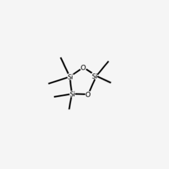 C[Si]1(C)O[Si](C)(C)[Si](C)(C)O1